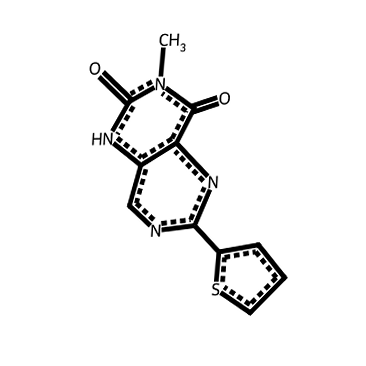 Cn1c(=O)[nH]c2cnc(-c3cccs3)nc2c1=O